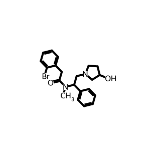 CN(C(=O)Cc1ccccc1Br)C(CN1CCC(O)C1)c1ccccc1